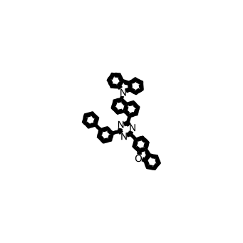 c1ccc(-c2cccc(-c3nc(-c4ccc5c(c4)oc4ccccc45)nc(-c4cccc5c(-n6c7ccccc7c7ccccc76)cccc45)n3)c2)cc1